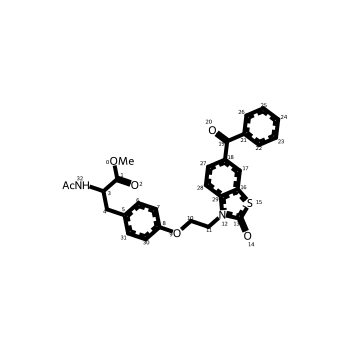 COC(=O)C(Cc1ccc(OCCn2c(=O)sc3cc(C(=O)c4ccccc4)ccc32)cc1)NC(C)=O